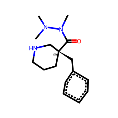 CN(C)N(C)C(=O)[C@]1(Cc2ccccc2)CCCNC1